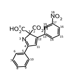 O=C(O)C1(C(=O)O)N=C(c2ccccc2)C=C1c1cccc([N+](=O)[O-])c1